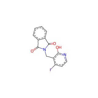 O=C1c2ccccc2C(=O)N1Cc1c(I)ccnc1O